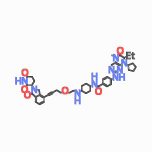 CC[C@@H]1C(=O)N(C)c2cnc(Nc3ccc(C(=O)N[C@H]4CC[C@H](NCCOCCC#Cc5cccc6c5CN(C5CCC(=O)NC5=O)C6=O)CC4)cc3)nc2N1C1CCCC1